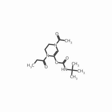 CCC(=O)N1CCN(C(C)=O)C=C1OC(=O)NC(C)(C)C